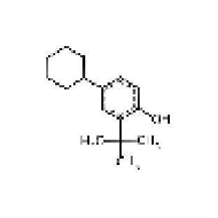 CC(C)(C)c1cc(C2CCCCC2)ccc1O